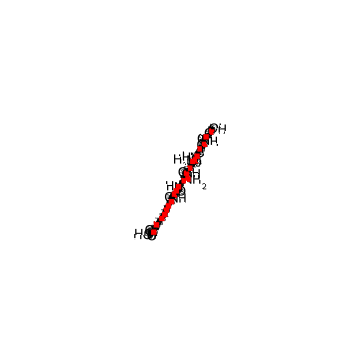 N[C@@H](CCCCNC(=O)CCCNC(=O)CCCCCCCCCCCCCCCS(=O)(=O)O)C(=O)NCCCC[C@H](N)C(=O)NCCOCCOCC(=O)NCCOCCO